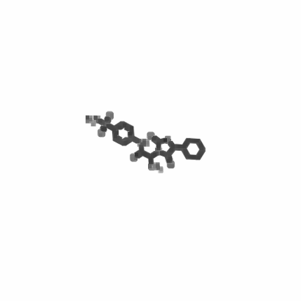 CC(C(=O)Nc1ccc(S(N)(=O)=O)cc1)N1C(=O)SC(=C2CCCCC2)C1=O